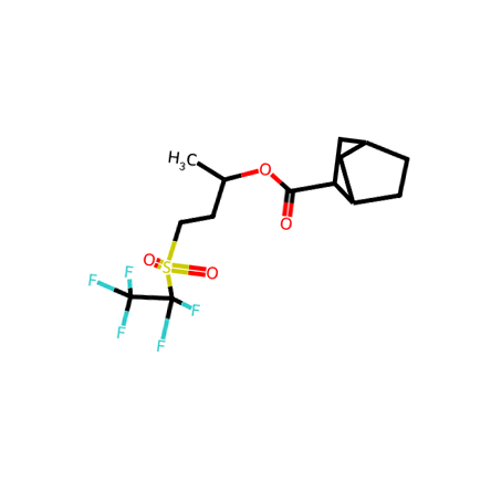 CC(CCS(=O)(=O)C(F)(F)C(F)(F)F)OC(=O)C1CC2CCC1C2